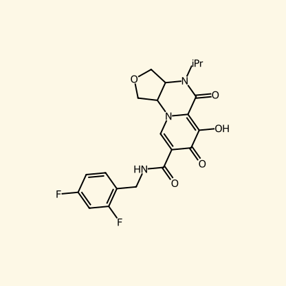 CC(C)N1C(=O)c2c(O)c(=O)c(C(=O)NCc3ccc(F)cc3F)cn2C2COCC21